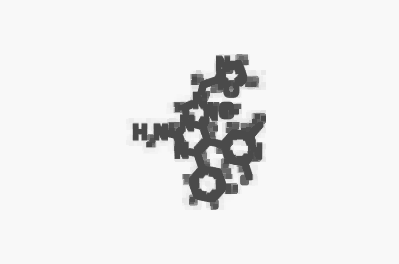 Cc1cc(C2=C(c3ccccc3)N=C(N)N3CN(Cc4ncco4)[N+]([O-])=C23)cc(C)n1